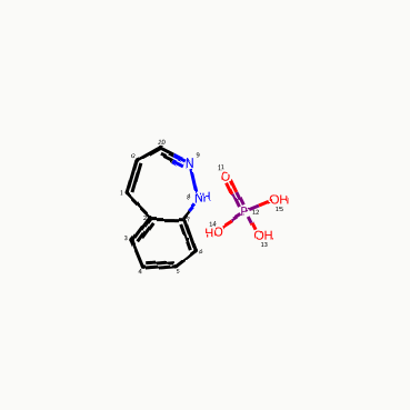 C1=Cc2ccccc2NN=C1.O=P(O)(O)O